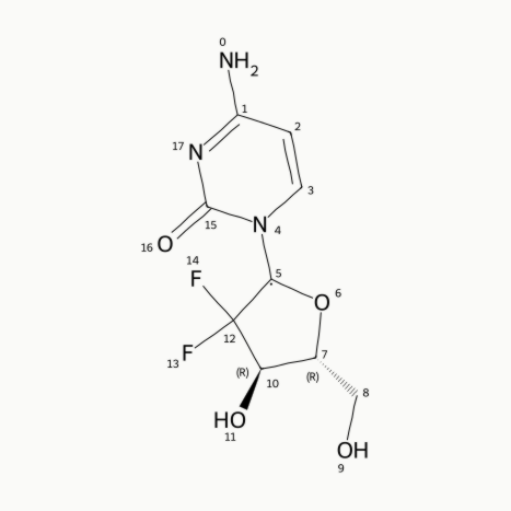 Nc1ccn([C]2O[C@H](CO)[C@@H](O)C2(F)F)c(=O)n1